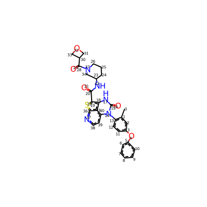 Cc1cc(Oc2ccccc2)ccc1N1C(=O)Nc2c(C(=O)NC3CCCN(C(=O)C4COC4)C3)sc3nccc1c23